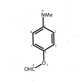 CNc1ccc(OC=O)cc1